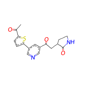 CC(=O)c1ccc(-c2cncc(C(=O)CC3CCNC3=O)c2)s1